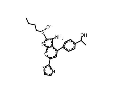 CCCC[S+]([O-])c1sc2nc(-c3nccs3)cc(-c3ccc(C(C)O)cc3)c2c1N